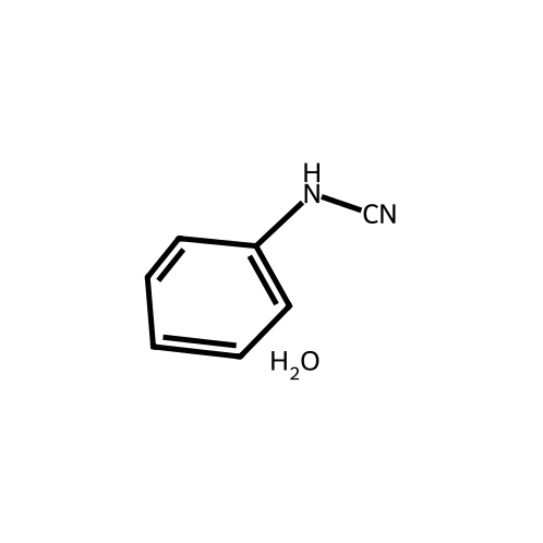 N#CNc1ccccc1.O